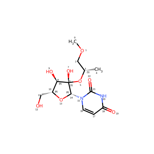 COC[C@H](C)O[C@@]1(O)[C@H](O)[C@@H](CO)O[C@H]1n1ccc(=O)[nH]c1=O